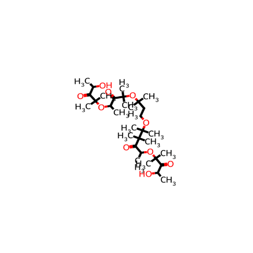 CC(O)C(=O)C(C)(C)OC(C)C(=O)C(C)(C)OC(C)(C)CCOC(C)(C)C(C)(C)C(=O)C(C)OC(C)(C)C(=O)C(C)O